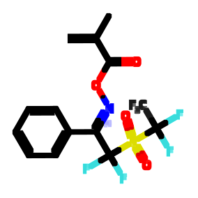 C=C(C)C(=O)O/N=C(\c1ccccc1)C(F)(F)S(=O)(=O)C(F)(F)C(F)(F)F